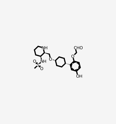 CS(=O)(=O)N[C@H]1CCCN[C@H]1CO[C@H]1CC[C@@H](c2cc(O)ccc2OCC=O)CC1